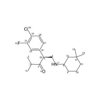 CC(C)C(=O)[C@H](CNC1CCCC(C)(C)C1)c1ccc(Cl)c(F)c1